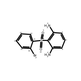 Nc1cccc(N)c1S(=O)(=O)c1ccccc1Br